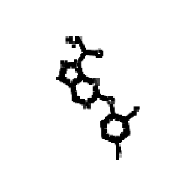 NC(=O)n1n[c]c2cnc(Oc3ccc(F)cc3F)nc21